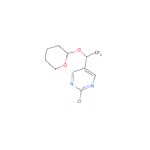 FC(F)(F)C(OC1CCCCO1)c1cnc(Cl)nc1